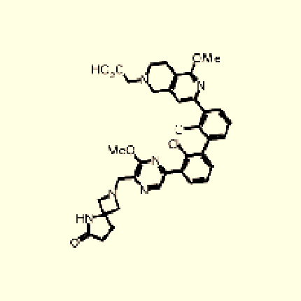 COc1nc(-c2cccc(-c3cccc(-c4cc5c(c(OC)n4)CCN(CC(=O)O)C5)c3Cl)c2Cl)cnc1CN1CC2(CCC(=O)N2)C1